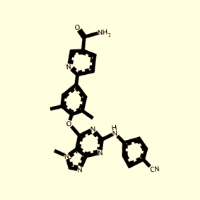 Cc1cc(-c2ccc(C(N)=O)cn2)cc(C)c1Oc1nc(Nc2ccc(C#N)cc2)nc2ncn(C)c12